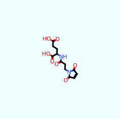 O=C(O)CCC(NC(=O)CCN1C(=O)C=CC1=O)C(=O)O